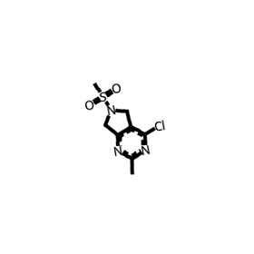 Cc1nc(Cl)c2c(n1)CN(S(C)(=O)=O)C2